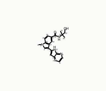 Cn1cc(-c2cc3nccnc3[nH]2)c2cc(C(=O)NC(C)(C)CO)ccc21